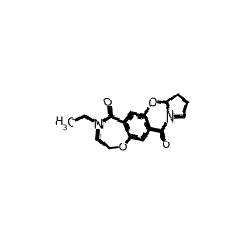 CCN1CCOc2cc3c(cc2C1=O)OC1CCCN1C3=O